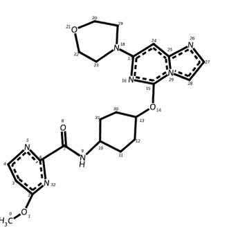 COc1ccnc(C(=O)NC2CCC(Oc3nc(N4CCOCC4)cc4nccn34)CC2)n1